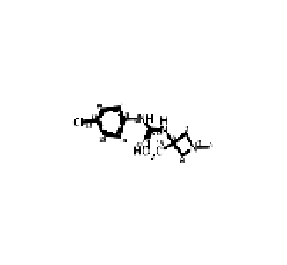 CN1CC(NC(=O)Nc2ccc(Cl)cc2)(C(=O)O)C1